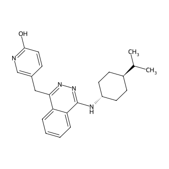 CC(C)[C@H]1CC[C@H](Nc2nnc(Cc3ccc(O)nc3)c3ccccc23)CC1